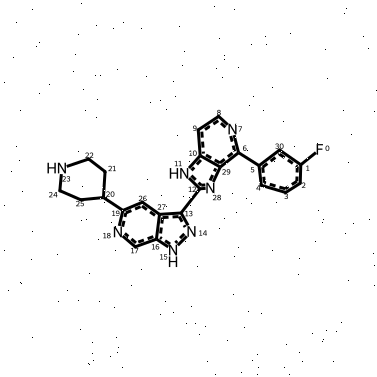 Fc1cccc(-c2nccc3[nH]c(-c4n[nH]c5cnc(C6CCNCC6)cc45)nc23)c1